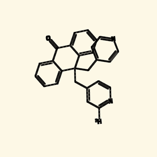 [2H]c1cc(CC2(Cc3ccncc3)c3ccccc3C(=O)c3ccccc32)ccn1